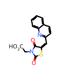 O=C(O)CN1C(=O)SC(=Cc2ccc3ccccc3n2)C1=O